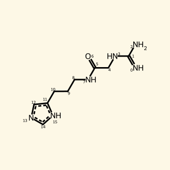 N=C(N)NCC(=O)NCCCc1cnc[nH]1